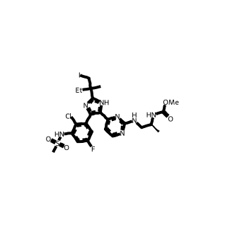 CCC(C)(CI)c1nc(-c2cc(F)cc(NS(C)(=O)=O)c2Cl)c(-c2ccnc(NC[C@H](C)NC(=O)OC)n2)[nH]1